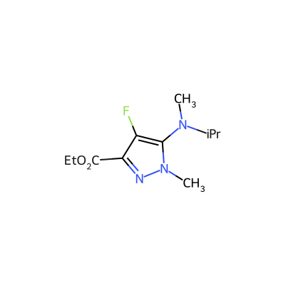 CCOC(=O)c1nn(C)c(N(C)C(C)C)c1F